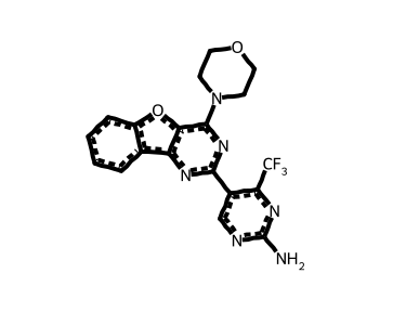 Nc1ncc(-c2nc(N3CCOCC3)c3oc4ccccc4c3n2)c(C(F)(F)F)n1